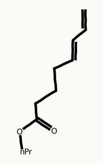 C=CC=CCCCC(=O)OCCC